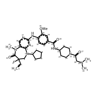 C=CC1(F)CN(C2CCCC2)c2nc(Nc3ccc(C(=O)NC4CCN(C(=O)CN(C)C)CC4)cc3OC)ncc2N(C)C1=O